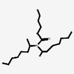 CCCCCCC(C)N(C(=O)CCCCC)C(C)CCCCCC